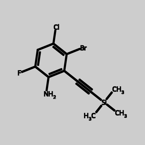 C[Si](C)(C)C#Cc1c(N)c(F)cc(Cl)c1Br